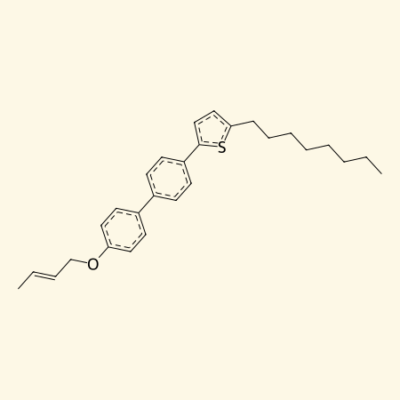 CC=CCOc1ccc(-c2ccc(-c3ccc(CCCCCCCC)s3)cc2)cc1